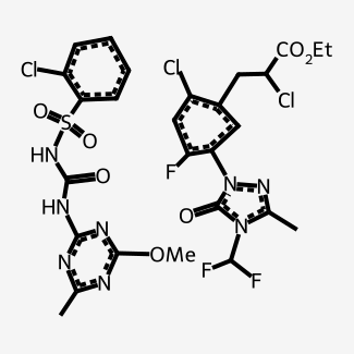 CCOC(=O)C(Cl)Cc1cc(-n2nc(C)n(C(F)F)c2=O)c(F)cc1Cl.COc1nc(C)nc(NC(=O)NS(=O)(=O)c2ccccc2Cl)n1